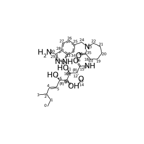 CCC(C)C=C[C@@H](O)[C@H](O)[C@@H](O)[C@@H](OC)C(=O)N[C@H]1CCCCN(Cc2ccc3c(N)n[nH]c3c2)C1=O